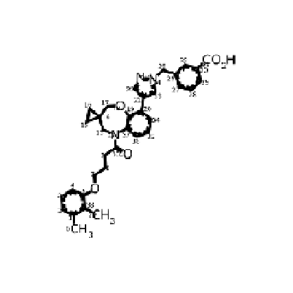 Cc1cccc(OCCCC(=O)N2CC3(CC3)COc3c(-c4cnn(Cc5cccc(C(=O)O)c5)c4)cccc32)c1C